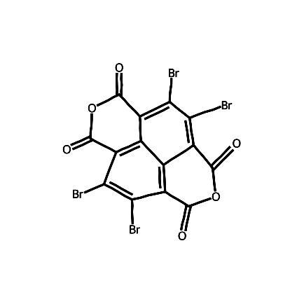 O=C1OC(=O)c2c(Br)c(Br)c3c4c(c(Br)c(Br)c1c24)C(=O)OC3=O